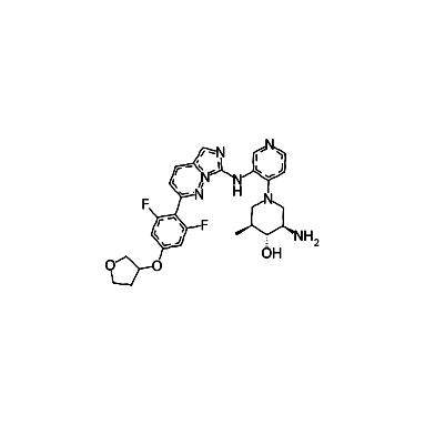 C[C@H]1CN(c2ccncc2Nc2ncc3ccc(-c4c(F)cc(OC5CCOC5)cc4F)nn23)C[C@@H](N)[C@@H]1O